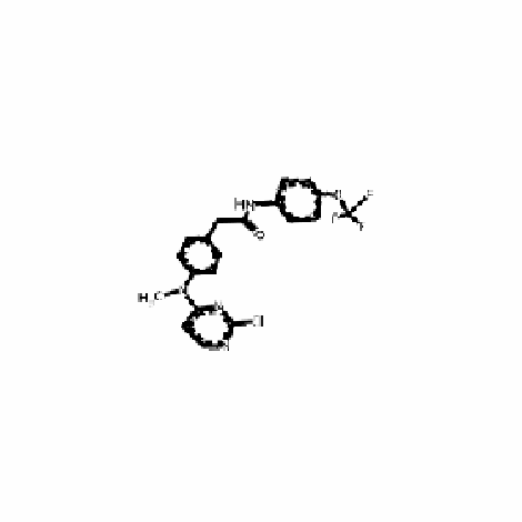 CN(c1ccc(CC(=O)Nc2ccc(OC(F)(F)F)cc2)cc1)c1ccnc(Cl)n1